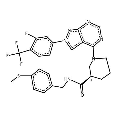 CSc1ccc(CNC(=O)[C@@H]2CCCN(c3ncnc4nn(-c5ccc(C(F)(F)F)c(F)c5)cc34)C2)cc1